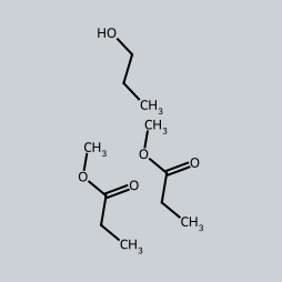 CCC(=O)OC.CCC(=O)OC.CCCO